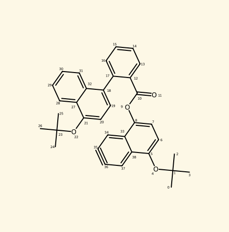 CC(C)(C)Oc1ccc(OC(=O)c2ccccc2-c2ccc(OC(C)(C)C)c3ccccc23)c2cc#ccc12